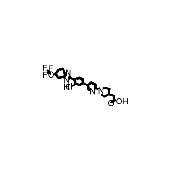 O=C(O)CC1CCN(c2ccc(-c3ccc(-c4nc5ccc(OC(F)(F)F)cc5[nH]4)c(Cl)c3)cn2)CC1